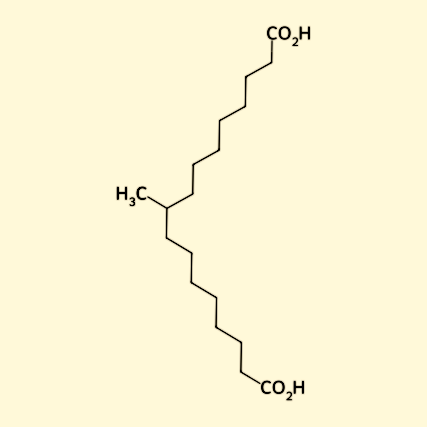 CC(CCCCCCCC(=O)O)CCCCCCCC(=O)O